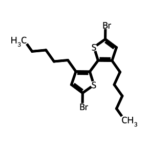 CCCCCc1cc(Br)sc1-c1sc(Br)cc1CCCCC